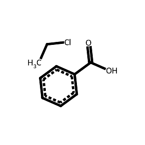 CCCl.O=C(O)c1ccccc1